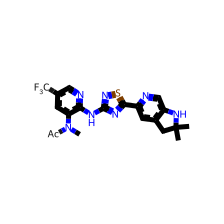 CC(=O)N(C)c1cc(C(F)(F)F)cnc1Nc1nsc(-c2cc3c(cn2)NC(C)(C)C3)n1